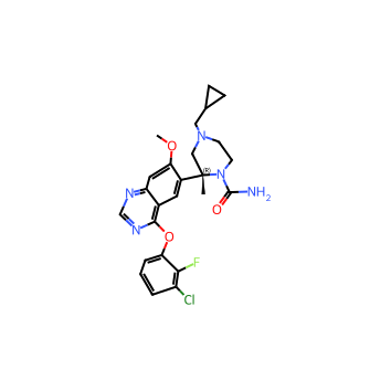 COc1cc2ncnc(Oc3cccc(Cl)c3F)c2cc1[C@]1(C)CN(CC2CC2)CCN1C(N)=O